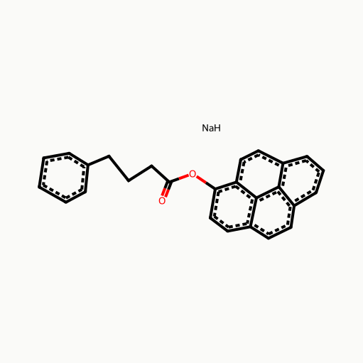 O=C(CCCc1ccccc1)Oc1ccc2ccc3cccc4ccc1c2c34.[NaH]